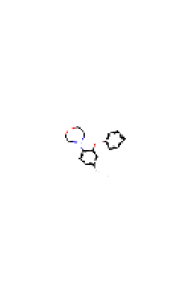 O=[N+]([O-])c1ccc(N2CCOCC2)c(Oc2ccccc2)c1